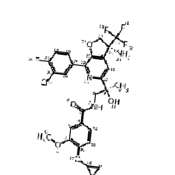 COc1cc(C(=O)NC[C@](C)(O)c2cc3c(c(-c4ccc(F)c(Cl)c4)n2)OC[C@@]3(N)C(F)(F)F)ccc1OC1CC1